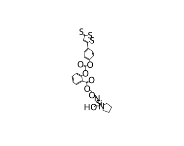 O=C(Oc1ccc(-c2cc(=S)ss2)cc1)Oc1ccccc1C(=O)OCO/N=[Si](\O)N1CCCC1